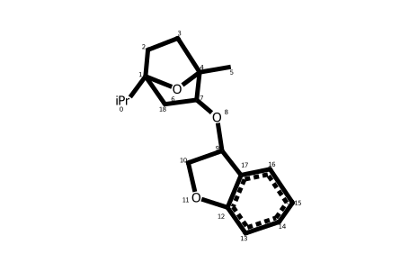 CC(C)C12CCC(C)(O1)C(OC1COc3ccccc31)C2